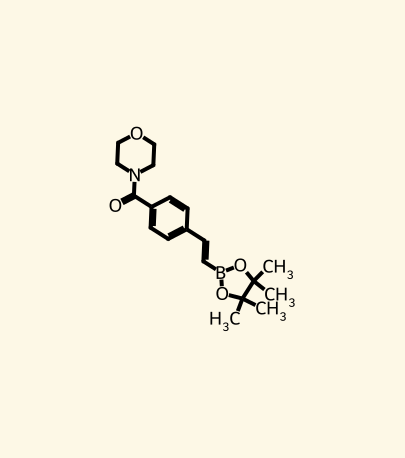 CC1(C)OB(C=Cc2ccc(C(=O)N3CCOCC3)cc2)OC1(C)C